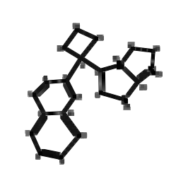 C1=C(C2(c3ccc4ccccc4c3)CCC2)N2CCN=C2S1